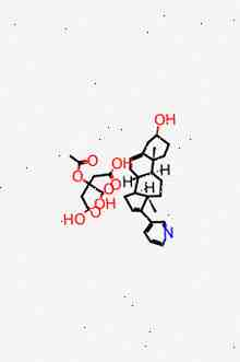 CC(=O)OC(CC(=O)O)(CC(=O)O)C(=O)O.C[C@]12CC[C@H](O)CC1=CC[C@@H]1[C@@H]2CC[C@]2(C)C(c3cccnc3)=CC[C@@H]12